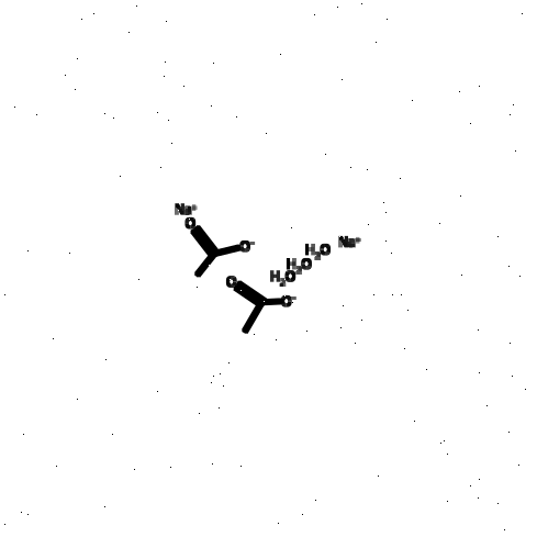 CC(=O)[O-].CC(=O)[O-].O.O.O.[Na+].[Na+]